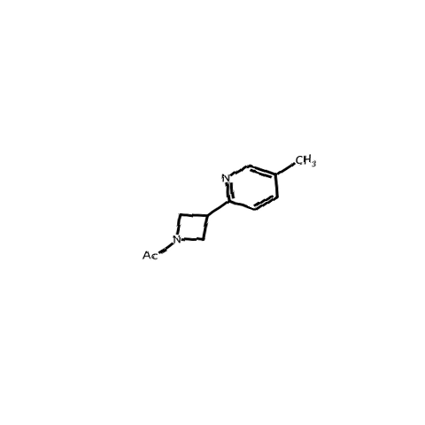 CC(=O)N1CC(c2ccc(C)cn2)C1